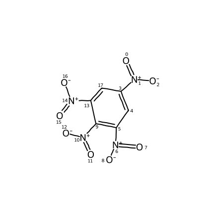 O=[N+]([O-])c1cc([N+](=O)[O-])c([N+](=O)[O-])c([N+](=O)[O-])c1